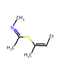 CC/C=C(/C)S/C(C)=N\C